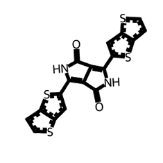 O=C1NC(c2cc3sccc3s2)=C2C(=O)NC(c3cc4sccc4s3)=C12